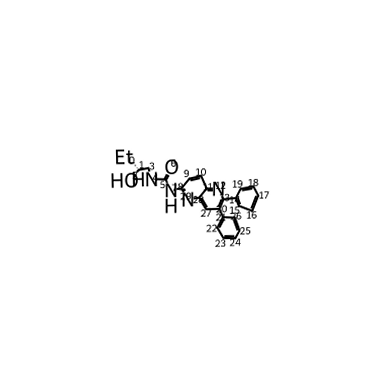 CC[C@@H](O)CNC(=O)Nc1ccc2nc(-c3ccccc3)c(-c3ccccc3)cc2n1